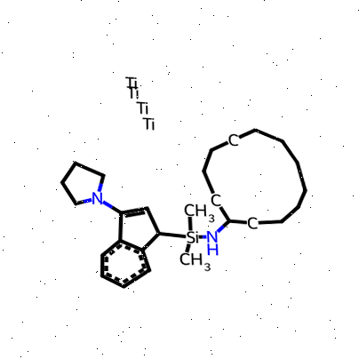 C[Si](C)(NC1CCCCCCCCCCC1)C1C=C(N2CCCC2)c2ccccc21.[Ti].[Ti].[Ti].[Ti]